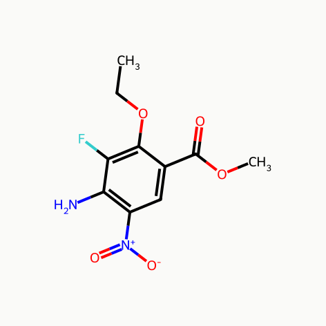 CCOc1c(C(=O)OC)cc([N+](=O)[O-])c(N)c1F